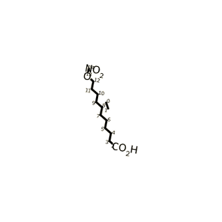 CC.O=C(O)CCCCCCCCCCO[N+](=O)[O-]